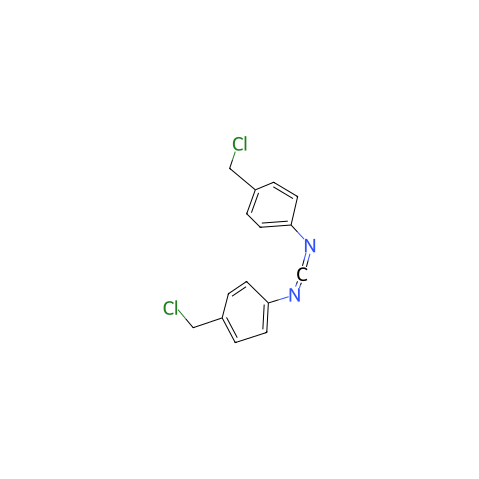 ClCc1ccc(N=C=Nc2ccc(CCl)cc2)cc1